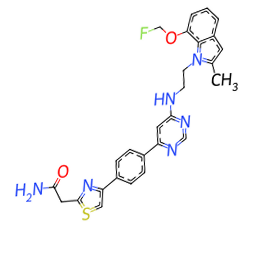 Cc1cc2cccc(OCF)c2n1CCNc1cc(-c2ccc(-c3csc(CC(N)=O)n3)cc2)ncn1